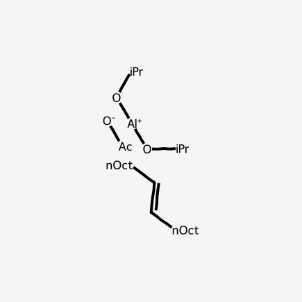 CC(=O)[O-].CC(C)[O][Al+][O]C(C)C.CCCCCCCCC=CCCCCCCCC